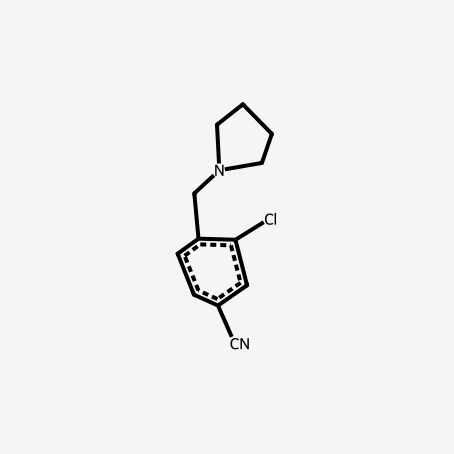 N#Cc1ccc(CN2CCCC2)c(Cl)c1